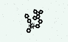 c1ccc(-c2ccc(-c3nc(-c4ccccc4)nc(-c4cccc(-c5cccc(-c6cc7c8ccccc8c8ccccc8c7c7ccccc67)c5)c4)n3)cc2)cc1